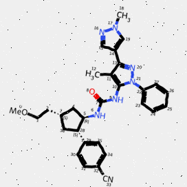 COCC[C@@H]1C[C@@H](NC(=O)Nc2c(C)c(-c3cnn(C)c3)nn2-c2ccccc2)[C@H](c2ccc(C#N)cc2)C1